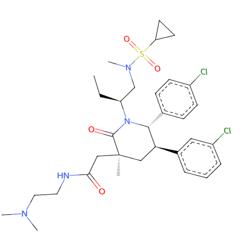 CC[C@@H](CN(C)S(=O)(=O)C1CC1)N1C(=O)[C@](C)(CC(=O)NCCN(C)C)C[C@H](c2cccc(Cl)c2)[C@H]1c1ccc(Cl)cc1